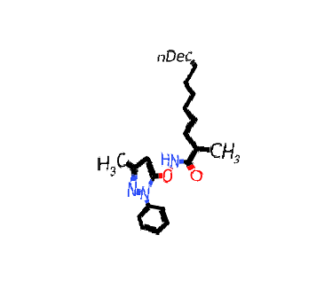 CCCCCCCCCCCCCCCCC(C)C(=O)NOc1cc(C)nn1-c1ccccc1